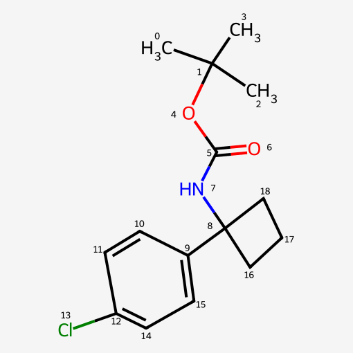 CC(C)(C)OC(=O)NC1(c2ccc(Cl)cc2)CCC1